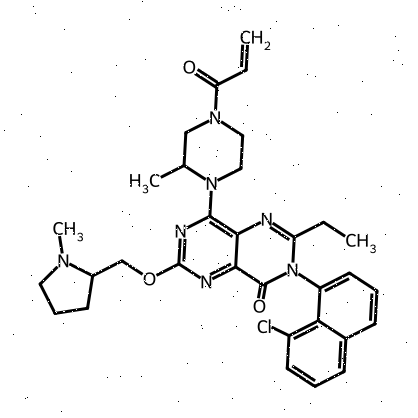 C=CC(=O)N1CCN(c2nc(OCC3CCCN3C)nc3c(=O)n(-c4cccc5cccc(Cl)c45)c(CC)nc23)C(C)C1